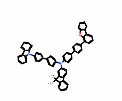 CC1(C)c2ccccc2-c2ccc(N(c3ccc(-c4ccc(-c5cccc6c5OC5=CC=CCC56)cc4)cc3)c3ccc(-c4ccc(-n5c6ccccc6c6ccccc65)cc4)cc3)cc21